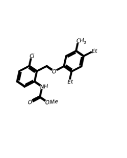 CCc1cc(CC)c(OCc2c(Cl)cccc2NC(=O)OC)cc1C